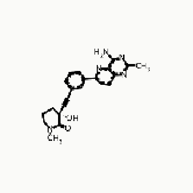 Cc1nc(N)c2nc(-c3cccc(C#C[C@]4(O)CCCN(C)C4=O)c3)ccc2n1